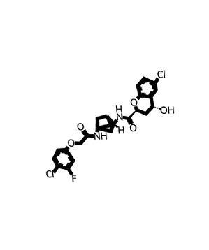 O=C(COc1ccc(Cl)c(F)c1)NC12CC(C1)[C@H](NC(=O)[C@@H]1C[C@@H](O)c3cc(Cl)ccc3O1)C2